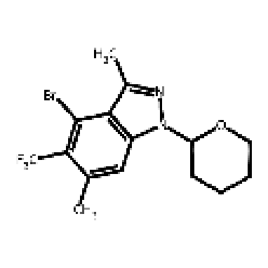 Cc1cc2c(c(C)nn2C2CCCCO2)c(Br)c1C(F)(F)F